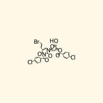 O=C(O[C@H]1C[C@H](n2cc(C=CBr)c(=O)n(C(=O)c3ccc(Cl)cc3)c2=O)O[C@@H]1CO)c1ccc(Cl)cc1